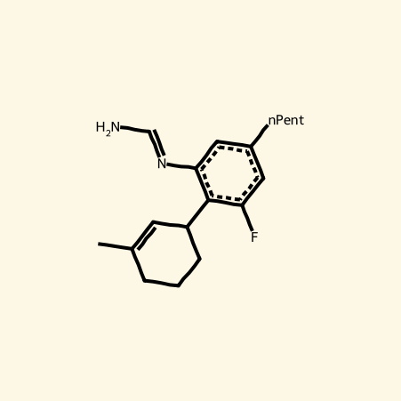 CCCCCc1cc(F)c(C2C=C(C)CCC2)c(/N=C/N)c1